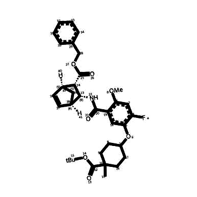 COc1cc(F)c(OC2CCC(C)(C(=O)OC(C)(C)C)CC2)cc1C(=O)N[C@H]1[C@@H](C(=O)OCc2ccccc2)[C@@H]2C=C[C@H]1C2